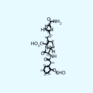 NC(=O)c1n[nH]c(SCC2=C(C(=O)O)N3C(=O)C(NC(=O)Cc4ccccc4OC=O)[C@H]3SC2)n1